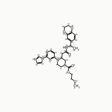 COCCOC(=O)N1CCN(c2ccnc(-n3ccnc3)n2)C(CC(=O)NC(C)c2ccc3c(c2)OCCO3)C1